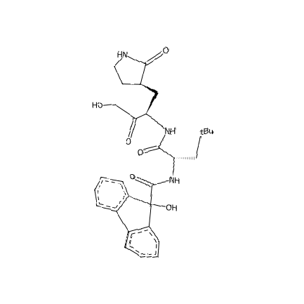 CC(C)(C)C[C@H](NC(=O)C1(O)c2ccccc2-c2ccccc21)C(=O)N[C@H](C[C@H]1CCNC1=O)C(=O)CO